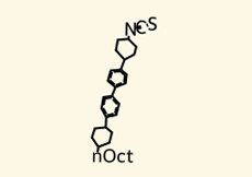 CCCCCCCCC1CCC(c2ccc(-c3ccc(C4CCC(N=C=S)CC4)cc3)cc2)CC1